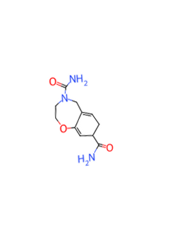 NC(=O)C1C=C2OCCN(C(N)=O)CC2=CC1